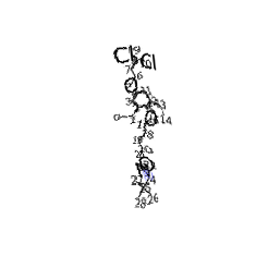 CCc1cc(OCC=C(Cl)Cl)cc(CC)c1OCCCCCO/N=C/C(C)(C)C